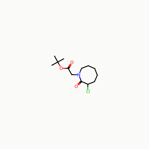 CC(C)(C)OC(=O)CN1CCCCCC(Cl)C1=O